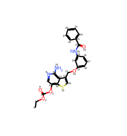 CCOC(=O)Oc1cnc(N)c2c(COc3cccc(NC(=O)c4ccccc4)c3)csc12